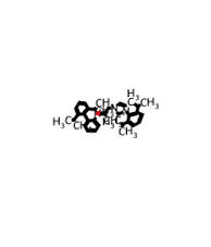 CC(CN1[C]N(c2c(C(C)C)cccc2C(C)C)C=C1)=Nc1ccccc1-c1c(C(C)C)cccc1C(C)C